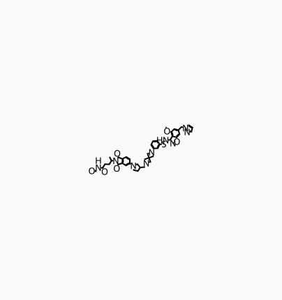 COc1cc(Cn2cccn2)cc2onc(NSc3cccc(N4CC5(CN(CC6CCN(c7ccc8c(c7)C(=O)N(C(C)CCC(=O)NC=O)C8=O)C6)C5)C4)c3)c12